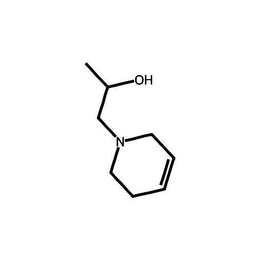 CC(O)CN1CC=CCC1